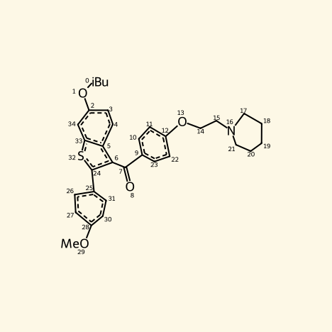 CCC(C)Oc1ccc2c(C(=O)c3ccc(OCCN4CCCCC4)cc3)c(-c3ccc(OC)cc3)sc2c1